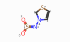 O=S(=O)=NN1C=CSC1